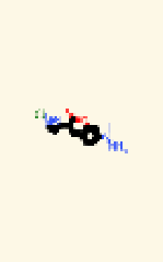 NNc1ccc2cc(-c3ccn(Cl)n3)c(=O)oc2c1